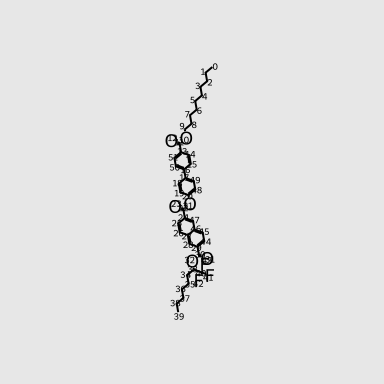 CCCCCCCCCCOC(=O)c1ccc(-c2ccc(OC(=O)c3ccc4cc(C(=O)OC(CCCCCC)C(F)(F)F)ccc4c3)cc2)cc1